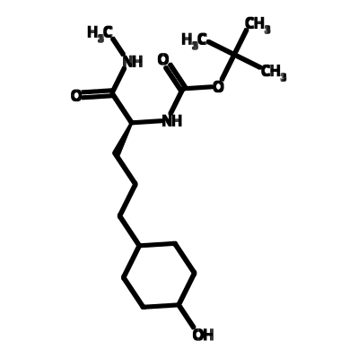 CNC(=O)[C@H](CCCC1CCC(O)CC1)NC(=O)OC(C)(C)C